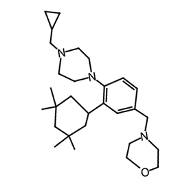 CC1(C)CC(c2cc(CN3CCOCC3)ccc2N2CCN(CC3CC3)CC2)CC(C)(C)C1